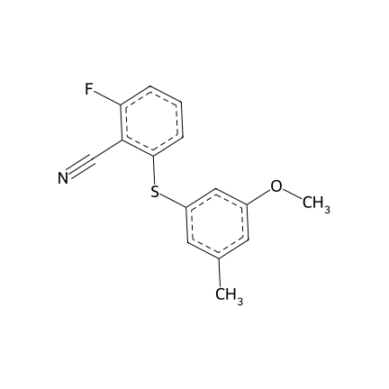 COc1cc(C)cc(Sc2cccc(F)c2C#N)c1